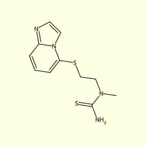 CN(CCSc1cccc2nccn12)C(N)=S